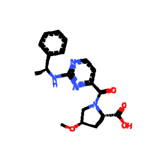 CO[C@@H]1C[C@@H](C(=O)O)N(C(=O)c2ccnc(N[C@@H](C)c3ccccc3)n2)C1